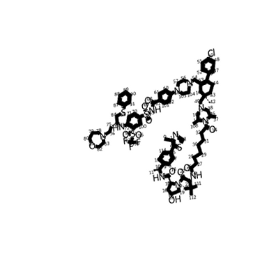 Cc1ncsc1-c1ccc([C@H](C)NC(=O)[C@@H]2C[C@@H](O)CN2C(=O)[C@@H](NC(=O)CCCCCCC(=O)N2C(C)CN(C[C@]3(C)CCC(c4ccc(Cl)cc4)=C(CN4CCN(c5ccc(C(=O)NS(=O)(=O)c6ccc(N[C@H](CCN7CCCOCC7)CSc7ccccc7)c(S(=O)(=O)C(F)(F)F)c6)cc5)CC4)C3)CC2C)C(C)(C)C)cc1